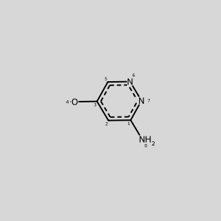 Nc1cc([O])cnn1